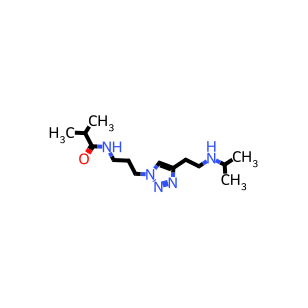 CC(C)NCCc1cn(CCCNC(=O)C(C)C)nn1